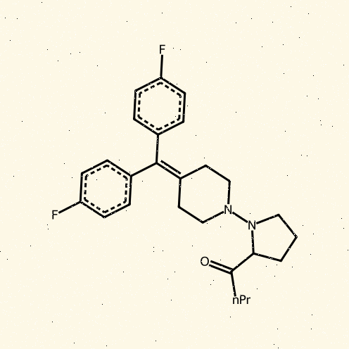 CCCC(=O)C1CCCN1N1CCC(=C(c2ccc(F)cc2)c2ccc(F)cc2)CC1